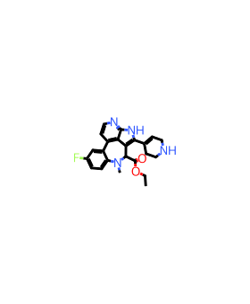 CCOC(=O)C1c2c(C3=CCNCC3)[nH]c3nccc(c23)-c2cc(F)ccc2N1C